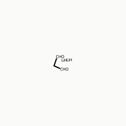 O=CCC=O.[LiH].[LiH]